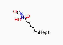 CCCCCCCCCCCCC(=O)N(O)N=C=O